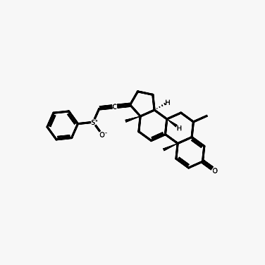 CC1C[C@@H]2C(=CC[C@]3(C)C(=C=C[S+]([O-])c4ccccc4)CC[C@@H]23)[C@@]2(C)C=CC(=O)C=C12